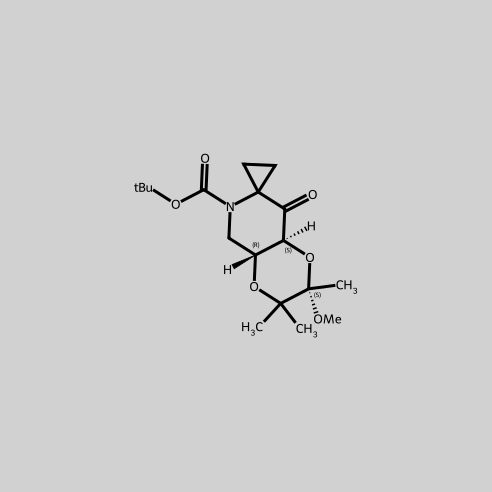 CO[C@@]1(C)O[C@@H]2C(=O)C3(CC3)N(C(=O)OC(C)(C)C)C[C@H]2OC1(C)C